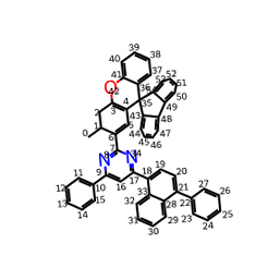 CC1CC2=C(C=C1c1nc(-c3ccccc3)cc(-c3ccc(-c4ccccc4)c4ccccc34)n1)C1(c3ccccc3O2)c2ccccc2-c2ccccc21